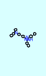 c1ccc(-c2ccc(C3N=C(c4ccc(-c5ccc(-n6c7ccccc7c7cc8ccccc8cc76)cc5)cc4)N=C(c4ccc5ccccc5c4)N3)cc2)cc1